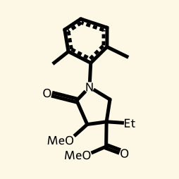 CCC1(C(=O)OC)CN(c2c(C)cccc2C)C(=O)C1OC